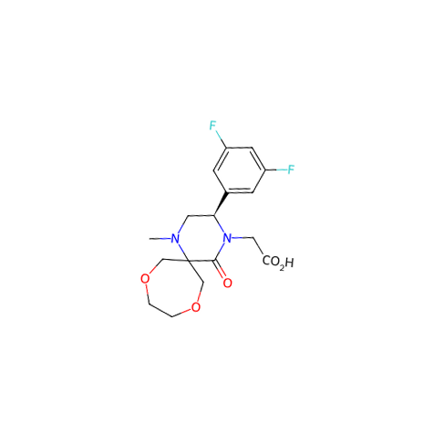 CN1C[C@@H](c2cc(F)cc(F)c2)N(CC(=O)O)C(=O)C12COCCOC2